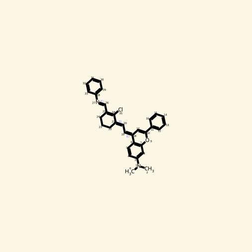 CN(C)c1ccc2c(c1)OC(c1ccccc1)=C/C2=C\C=C1/CCCC(/C=N/c2ccccc2)=C1Cl